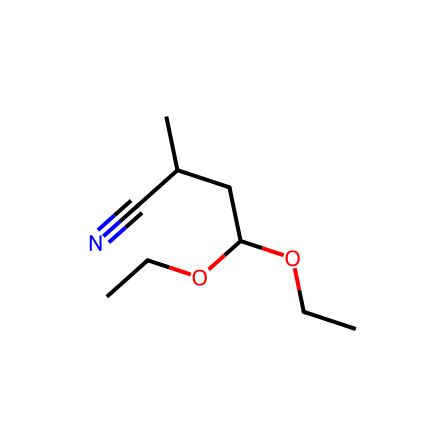 CCOC(CC(C)C#N)OCC